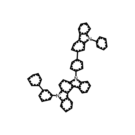 c1ccc(-c2cccc(-n3c4ccccc4c4c5c6ccccc6n(-c6ccc(-c7ccc8c9ccccc9n(-c9ccccc9)c8c7)cc6)c5ccc43)c2)cc1